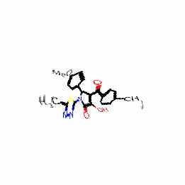 COc1ccc(C2C(C(=O)c3ccc(C)cc3)=C(O)C(=O)N2c2nnc(C)s2)cc1